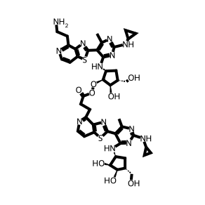 Cc1nc(NC2CC2)nc(N[C@@H]2C[C@H](CO)[C@@H](O)[C@H]2O)c1-c1nc2c(CCC(=O)OO[C@@H]3[C@H](O)[C@@H](CO)C[C@H]3Nc3nc(NC4CC4)nc(C)c3-c3nc4c(CCN)nccc4s3)nccc2s1